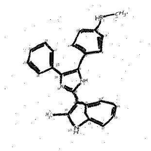 CBc1ccc(-c2[nH]c(-c3c(C)[nH]c4ccccc34)nc2-c2ccccc2)cc1